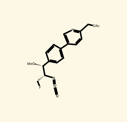 CO[C@H](c1ccc(-c2ccc(COC(C)=O)nc2)cc1)[C@@H](CF)N=[N+]=[N-]